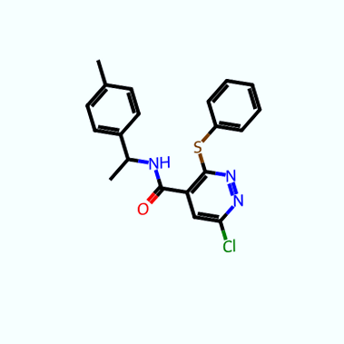 Cc1ccc(C(C)NC(=O)c2cc(Cl)nnc2Sc2ccccc2)cc1